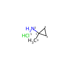 CC1(N)CC1.Cl